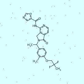 Cc1cc(C(C)N2Cc3c(ccnc3NC(=O)c3cnco3)C2=O)ccc1OCC(C)(F)F